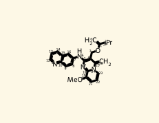 C=C(OCC1=C(Nc2ccc3ncccc3c2)N=C2C(OC)=CC=CN2C1=C)C(C)C